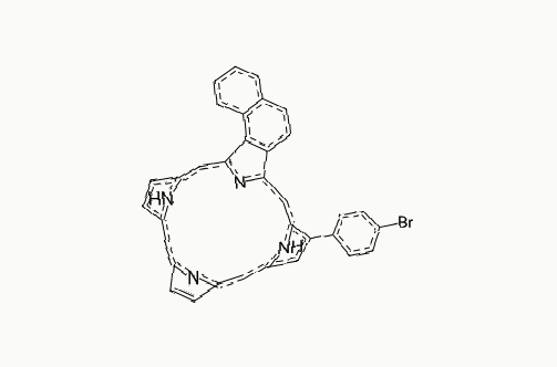 Brc1ccc(-c2cc3cc4nc(cc5ccc(cc6nc(cc2[nH]3)-c2ccc3ccccc3c2-6)[nH]5)C=C4)cc1